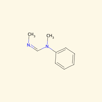 C/N=C\N(C)c1ccccc1